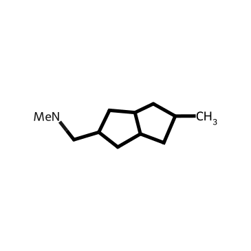 CNCC1CC2CC(C)CC2C1